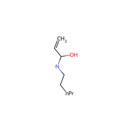 C=CC(O)[N]CCCCC